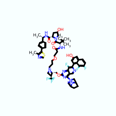 Cc1ncsc1-c1ccc([C@H](C)NC(=O)[C@@H]2C[C@@H](O)CN2C(=O)[C@@H](NC(=O)CCOCCCN2C[C@@H](C(F)(F)F)[C@H]2COc2nc(N3CC4CCC(C3)N4)c3cnc(-c4cc(O)cc5ccc(F)c(F)c45)c(F)c3n2)C(C)(C)C)cc1